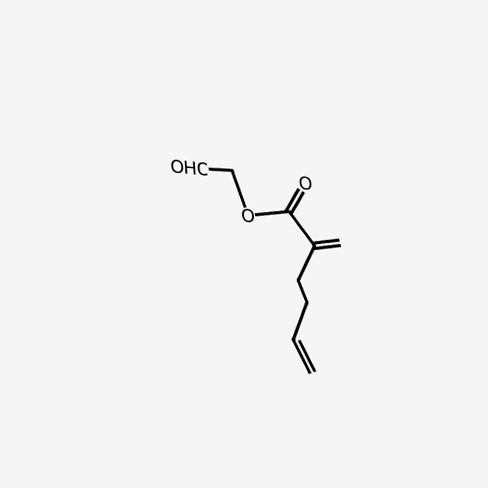 C=CCCC(=C)C(=O)OCC=O